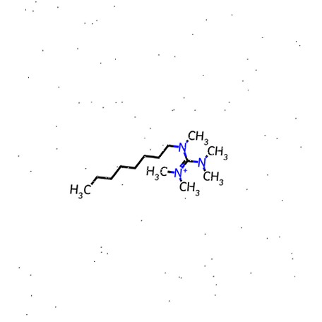 CCCCCCCCN(C)C(N(C)C)=[N+](C)C